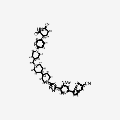 CNc1cc(-c2ccc3cc(C#N)cnn23)ncc1-c1nnc(N2CCC(C3CCN(CC4CCN(c5ccc([C@@H]6CCC(=O)NC6=O)cn5)CC4)CC3)CC2)s1